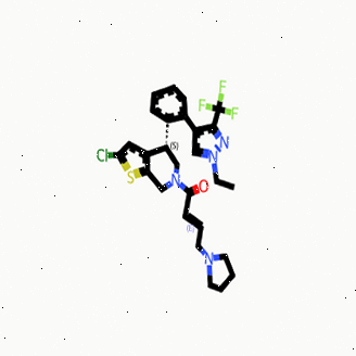 CCn1cc(-c2ccccc2[C@@H]2CN(C(=O)/C=C/CN3CCCC3)Cc3sc(Cl)cc32)c(C(F)(F)F)n1